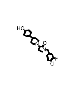 O=C1[C@@H](N2CCC(c3ccc(O)cc3)CC2)CCN1Cc1ccc(Cl)c(F)c1